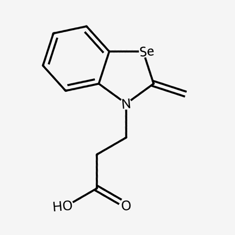 C=C1[Se]c2ccccc2N1CCC(=O)O